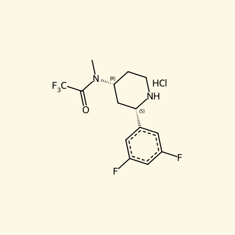 CN(C(=O)C(F)(F)F)[C@@H]1CCN[C@H](c2cc(F)cc(F)c2)C1.Cl